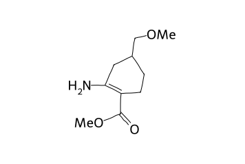 COCC1CCC(C(=O)OC)=C(N)C1